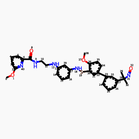 COc1cccc(C(=O)NCCNc2cccc(NSc3cc(-c4cccc(C(C)(C)N=O)c4)ccc3OC)c2)n1